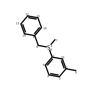 Cc1cccc([S+](C)Cc2ccccc2)c1